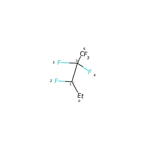 CC[C](F)C(F)(F)C(F)(F)F